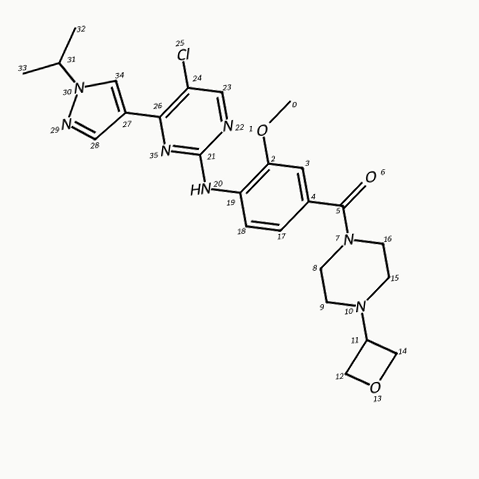 COc1cc(C(=O)N2CCN(C3COC3)CC2)ccc1Nc1ncc(Cl)c(-c2cnn(C(C)C)c2)n1